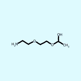 CC(O)OCCOCCN